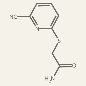 N#Cc1cccc(SCC(N)=O)n1